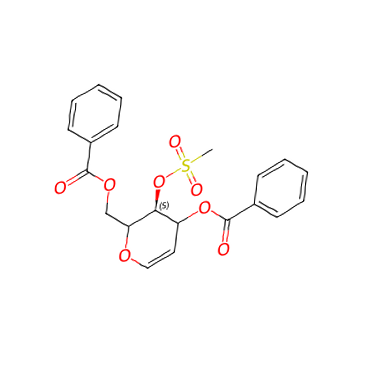 CS(=O)(=O)O[C@H]1C(OC(=O)c2ccccc2)C=COC1COC(=O)c1ccccc1